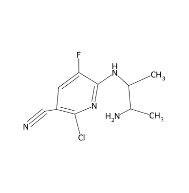 CC(N)C(C)Nc1nc(Cl)c(C#N)cc1F